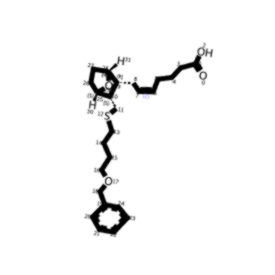 O=C(O)CCC/C=C\C[C@@H]1[C@H](CSCCCCOCc2ccccc2)[C@@H]2CC[C@H]1O2